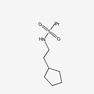 CC(C)S(=O)(=O)NCCC1CCCC1